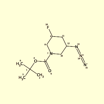 CC(C)(C)OC(=O)N1CC(F)CC(N=[N+]=[N-])C1